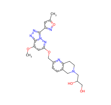 COc1cc(OCc2ccc3c(n2)CCN(CC(O)CO)C3)nn2c(-c3cc(C)on3)nnc12